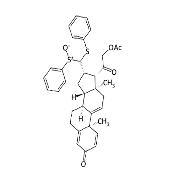 CC(=O)OCC(=O)[C@H]1[C@@H](C(Sc2ccccc2)[S+]([O-])c2ccccc2)C[C@H]2[C@@H]3CCC4=CC(=O)C=C[C@]4(C)C3=CC[C@@]21C